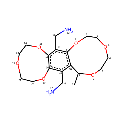 CC1OCCOCCOc2c(CN)c3c(c(CN)c21)OCCOCCO3